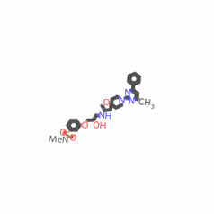 CNS(=O)(=O)c1cccc(OCC(O)CN[C@H]2COC3(CCN(c4nc(C)cc(-c5ccccc5)n4)CC3)C2)c1